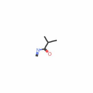 C=NC(=O)C(C)C